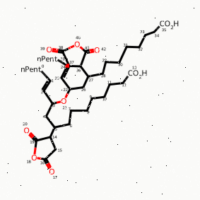 CCCCC/C=C/C(CC(CCCCCCCC(=O)O)C1CC(=O)OC1=O)OC(/C=C/CCCCC)CC(CCCCCCCC(=O)O)C1CC(=O)OC1=O